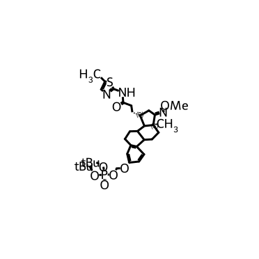 CON=C1C[C@@H](CCC(=O)Nc2ncc(C)s2)C2C3CCc4cc(OCOP(=O)(OC(C)(C)C)OC(C)(C)C)ccc4C3CC[C@]12C